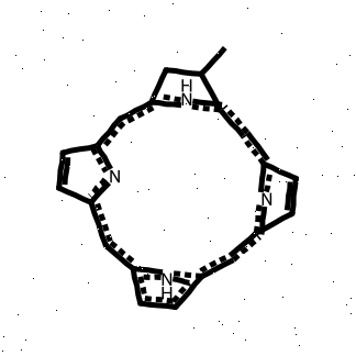 CC1Cc2cc3nc(cc4ccc(cc5nc(cc1[nH]2)C=C5)[nH]4)C=C3